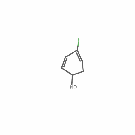 O=NC1C=CC(F)=CC1